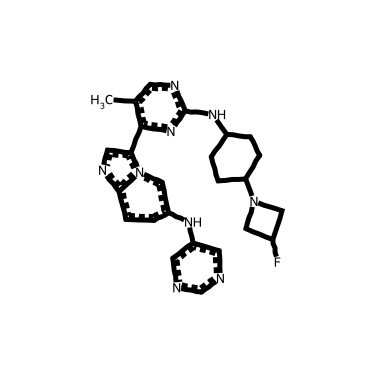 Cc1cnc(NC2CCC(N3CC(F)C3)CC2)nc1-c1cnc2ccc(Nc3cncnc3)cn12